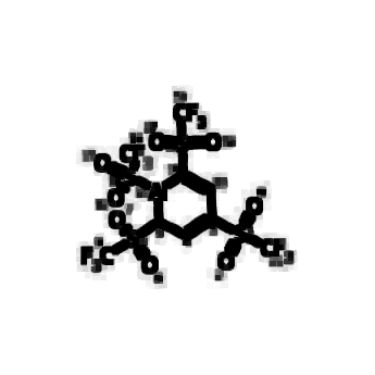 O=S(=O)(C1=C[CH](S(=O)(=O)C(F)(F)F)[Al]([S](=O)(=O)C(F)(F)F)[C](S(=O)(=O)C(F)(F)F)=C1)C(F)(F)F